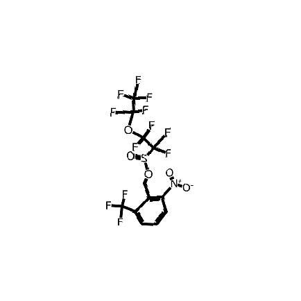 O=[N+]([O-])c1cccc(C(F)(F)F)c1COS(=O)C(F)(F)C(F)(F)OC(F)(F)C(F)(F)F